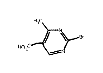 Cc1nc(Br)ncc1C(=O)O